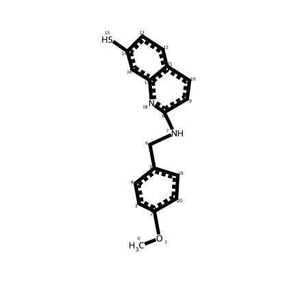 COc1ccc(CNc2ccc3ccc(S)cc3n2)cc1